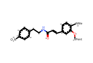 CCCCCOc1cc(/C=C/C(=O)NCCc2ccc([N+](=O)[O-])cc2)ccc1NC